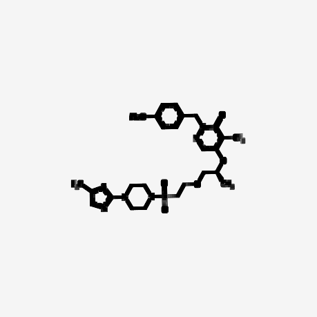 COc1ccc(Cn2ncc(O[C@@H](C)COCCS(=O)(=O)N3CCN(c4ncc(C(F)(F)F)s4)CC3)c(C(F)(F)F)c2=O)cc1